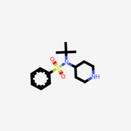 CC(C)(C)N(C1CCNCC1)S(=O)(=O)c1ccccc1